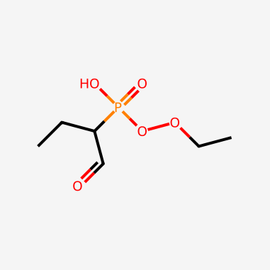 CCOOP(=O)(O)C(C=O)CC